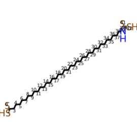 S=C(S)CCCCCCCCCCCCCCCCCCCCCCCCCCCCCCCCCCCCNC(=S)S